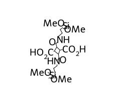 CO[Si](C)(CCCNC(=O)C1C(C(=O)O)C(C(=O)NCCC[Si](C)(OC)OC)C1C(=O)O)OC